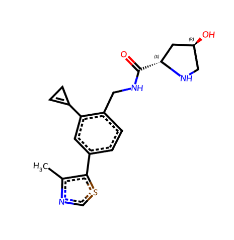 Cc1ncsc1-c1ccc(CNC(=O)[C@@H]2C[C@@H](O)CN2)c(C2=CC2)c1